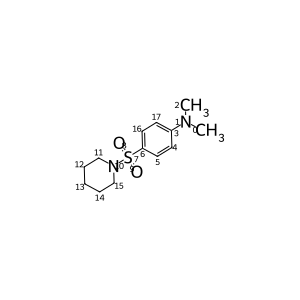 CN(C)c1ccc(S(=O)(=O)N2CCCCC2)cc1